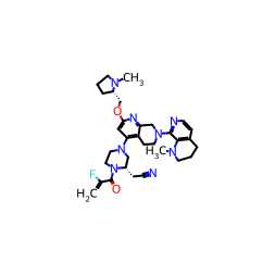 C=C(F)C(=O)N1CCN(c2cc(OC[C@@H]3CCCN3C)nc3c2CCN(c2nccc4c2N(C)CCC4)C3)C[C@@H]1CC#N